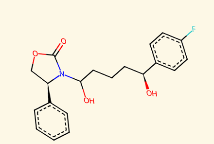 O=C1OC[C@H](c2ccccc2)N1C(O)CCC[C@H](O)c1ccc(F)cc1